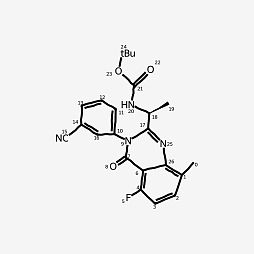 Cc1ccc(F)c2c(=O)n(-c3cccc(C#N)c3)c([C@H](C)NC(=O)OC(C)(C)C)nc12